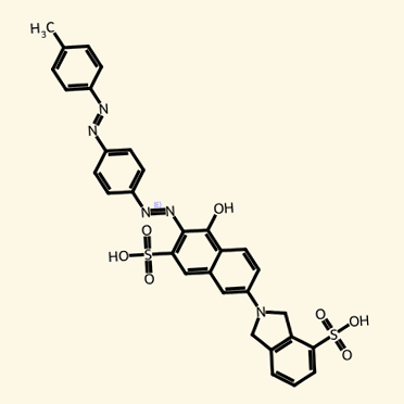 Cc1ccc(N=Nc2ccc(/N=N/c3c(S(=O)(=O)O)cc4cc(N5Cc6cccc(S(=O)(=O)O)c6C5)ccc4c3O)cc2)cc1